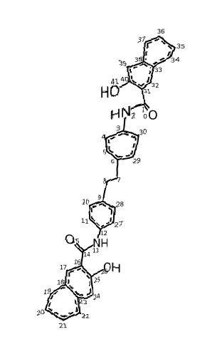 O=C(Nc1ccc(CCc2ccc(NC(=O)c3cc4ccccc4cc3O)cc2)cc1)c1cc2ccccc2cc1O